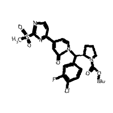 CC(C)(C)OC(=O)N1CCC[C@@H]1C(c1ccc(Cl)c(F)c1)n1ccc(-c2ccnc(S(C)(=O)=O)n2)cc1=O